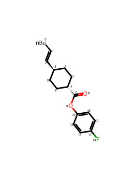 CCCC/C=C/[C@H]1CC[C@H](C(=O)Oc2ccc(F)cc2)CC1